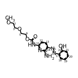 COCCOCCOC(=O)Nc1ccc(/N=N/c2ccccc2O)c(N)n1